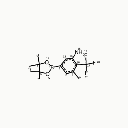 Cc1cc(B2OC(C)(C)C(C)(C)O2)cc(N)c1C(F)(F)F